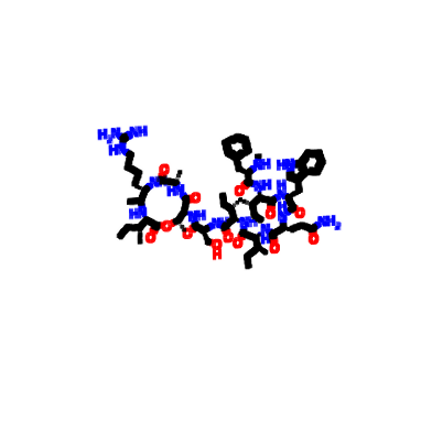 CC[C@H](C)[C@H](NC(=O)[C@@H](Cc1ccccc1)NC)C(=O)N[C@@H](Cc1c[nH]c2ccccc12)C(=O)N[C@H](CCC(N)=O)C(=O)N[C@@H](C(=O)N[C@H](C(=O)N[C@@H](CO)C(=O)N[C@H]1C(=O)N[C@@H](C)C(=O)N[C@@H](CCCCNC(=N)N)C(C)N[C@@H]([C@@H](C)CC)C(=O)O[C@H]1C)[C@@H](C)CC)[C@@H](C)CC